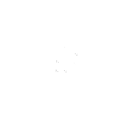 CC(C)n1nc2onc(C(C)(C)C)c2n1